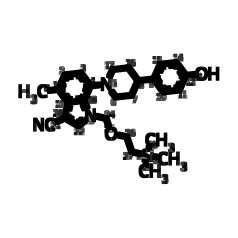 Cc1ccc(N2CCC(c3ccc(O)cc3)CC2)c2c1c(C#N)cn2COCC[Si](C)(C)C